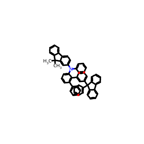 CC1(C)c2ccccc2-c2ccc(N(c3ccccc3)c3cccc(-c4ccccc4)c3-c3cccc(C4(c5ccccc5)c5ccccc5-c5ccccc54)c3)cc21